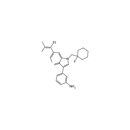 C=c1c(-c2cccc(N)c2)cn(CC2(F)CCCCC2)/c1=C/C(=C\C)C(CC)=C(C)C